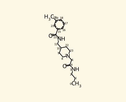 CCCNC(=O)CN1CCC(CNC(=O)c2cccc(C)c2)CC1